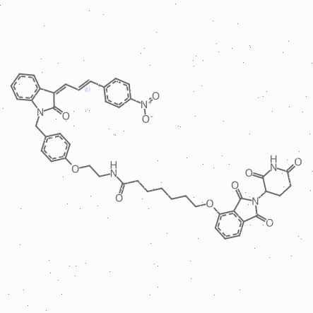 O=C(CCCCCCOc1cccc2c1C(=O)N(C1CCC(=O)NC1=O)C2=O)NCCOc1ccc(CN2C(=O)C(=C/C=C/c3ccc([N+](=O)[O-])cc3)c3ccccc32)cc1